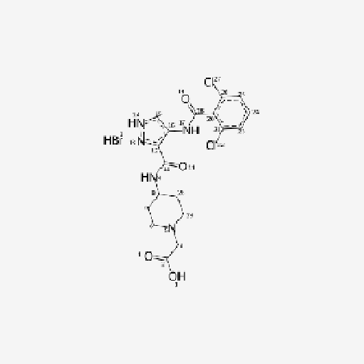 Br.O=C(O)CN1CCC(NC(=O)c2n[nH]cc2NC(=O)c2c(Cl)cccc2Cl)CC1